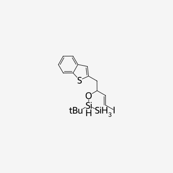 CC(C)(C)[SiH]([SiH3])OC(C=CI)Cc1cc2ccccc2s1